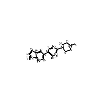 CN1CCN(c2ncc(-c3cnc4[nH]ccc4c3)cn2)CC1